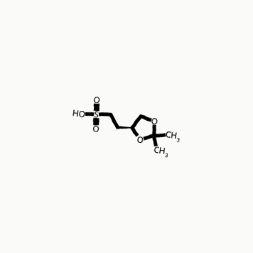 CC1(C)OC[C@H](CCS(=O)(=O)O)O1